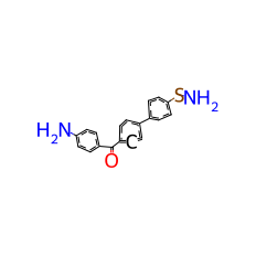 NSc1ccc(-c2ccc(C(=O)c3ccc(N)cc3)cc2)cc1